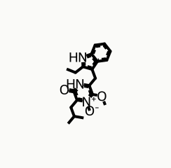 CCc1[nH]c2ccccc2c1Cc1[nH]c(=O)c(CC(C)C)[n+]([O-])c1OC